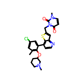 Cc1cc(Cl)cc(-c2ccnc3cc(Cn4c(=O)ccn(C)c4=O)sc23)c1OC1CCCN(C)C1